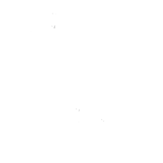 O=C(NCCOc1ccc(C(=S)NO)cc1)c1cc2ccccc2[nH]1